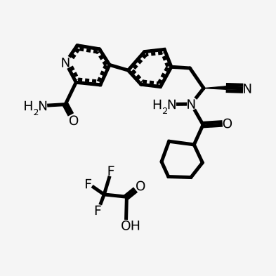 N#C[C@H](Cc1ccc(-c2ccnc(C(N)=O)c2)cc1)N(N)C(=O)C1CCCCC1.O=C(O)C(F)(F)F